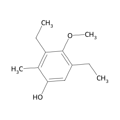 CCc1cc(O)c(C)c(CC)c1OC